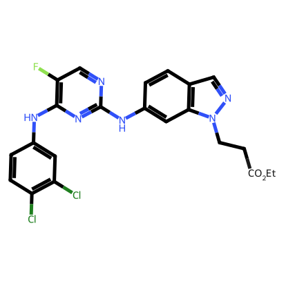 CCOC(=O)CCn1ncc2ccc(Nc3ncc(F)c(Nc4ccc(Cl)c(Cl)c4)n3)cc21